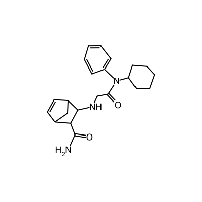 NC(=O)C1C2C=CC(C2)C1NCC(=O)N(c1ccccc1)C1CCCCC1